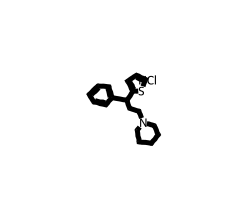 Cl.c1ccc(C(CCN2CCCCC2)c2cccs2)cc1